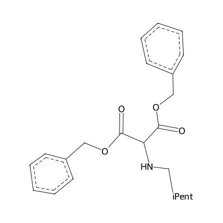 CCCC(C)CNC(C(=O)OCc1ccccc1)C(=O)OCc1ccccc1